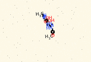 COc1ccc(CNc2ncnc3c2ncn3[C@@H]2O[C@H](Cn3cc(C)nn3)[C@@H](O)[C@H]2O)cc1